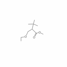 CCOCC(C(=O)OC)C(C)(C)C